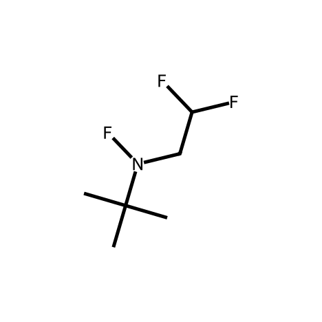 CC(C)(C)N(F)CC(F)F